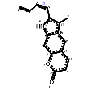 C=C/C=C\c1[nH]c2cc3oc(=O)ccc3cc2c1C